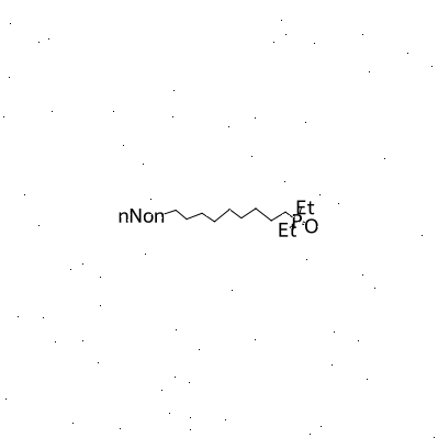 CCCCCCCCCCCCCCCCCCP(=O)(CC)CC